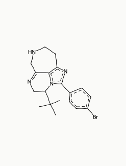 CC(C)(C)C1CN=C2CNCCc3nc(-c4ccc(Br)cc4)n1c32